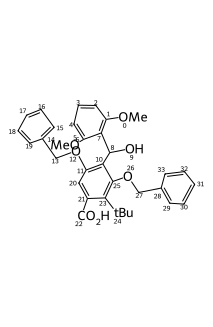 COc1cccc(OC)c1C(O)c1c(OCc2ccccc2)cc(C(=O)O)c(C(C)(C)C)c1OCc1ccccc1